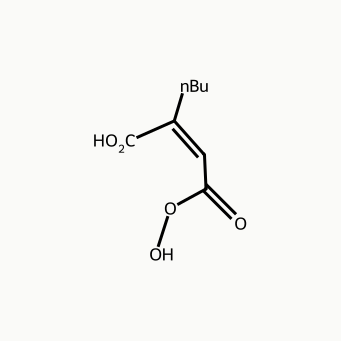 CCCC/C(=C/C(=O)OO)C(=O)O